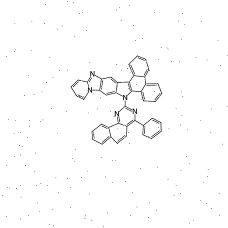 c1ccc(-c2nc(-n3c4cc5c(cc4c4c6ccccc6c6ccccc6c43)nc3ccccn35)nc3c2ccc2ccccc23)cc1